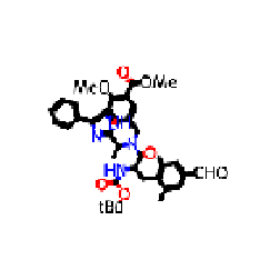 COC(=O)c1cc(CN(C(=O)C(Cc2c(C)cc(C=O)cc2C)NC(=O)OC(C)(C)C)C(C)c2nc(-c3ccccc3)c[nH]2)ccc1OC